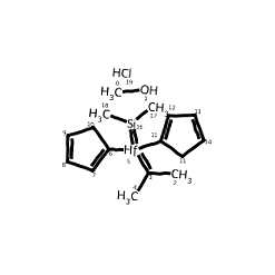 CO.C[C](C)=[Hf]([C]1=CC=CC1)([C]1=CC=CC1)=[Si](C)C.Cl